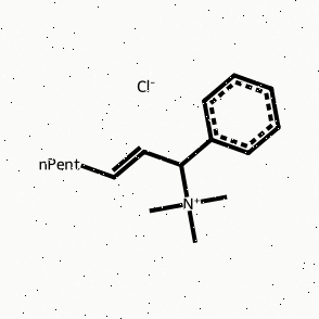 CCCCCC=CC(c1ccccc1)[N+](C)(C)C.[Cl-]